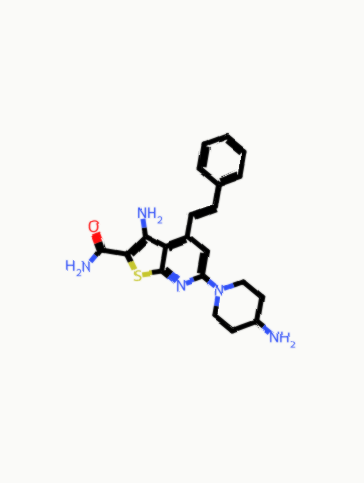 NC(=O)c1sc2nc(N3CCC(N)CC3)cc(C=Cc3ccccc3)c2c1N